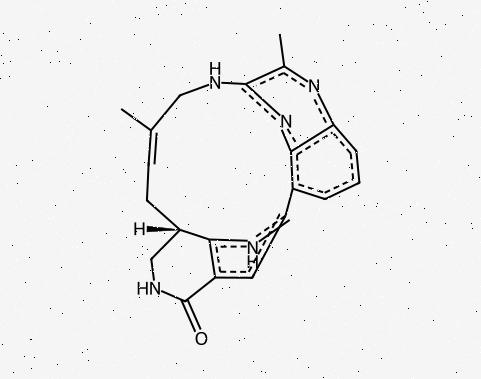 C/C1=C/C[C@H]2CNC(=O)c3cc([nH]c32)-c2cccc3nc(C)c(nc23)NC1